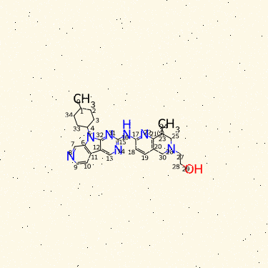 CC1CCC(n2c3cnccc3c3cnc(Nc4ccc5c(n4)[C@@H](C)CN(CCO)C5)nc32)CC1